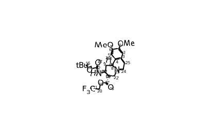 COc1cc2c(cc1OC)[C@@H]1C[C@H](NC(=O)OC(C)(C)C)[C@@H](C(=O)OCC(F)(F)F)CN1CC2